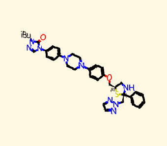 CCC(C)n1ncn(-c2ccc(N3CCN(c4ccc(OC[C@H]5CN[C@](Cn6nccn6)(c6ccccc6)S5)cc4)CC3)cc2)c1=O